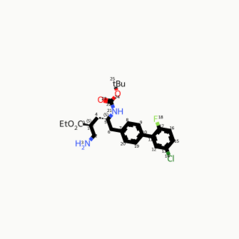 CCOC(=O)[C@H](CN)C[C@@H](Cc1ccc(-c2cc(Cl)ccc2F)cc1)NC(=O)OC(C)(C)C